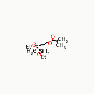 C=C(C)C(=O)OCCC[Si](C)(OCC)[SiH2]OCC